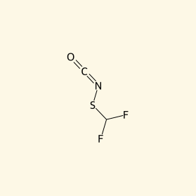 O=C=NSC(F)F